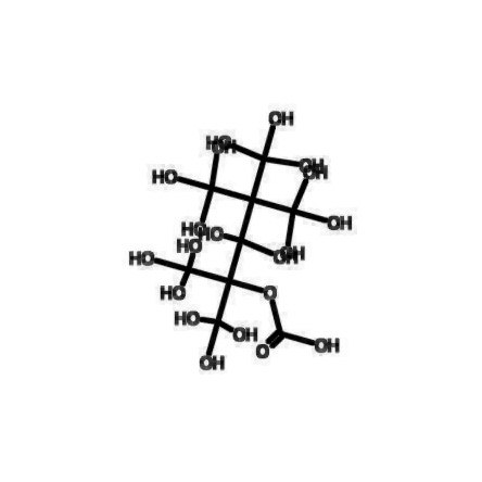 O=C(O)OC(C(O)(O)O)(C(O)(O)O)C(O)(O)C(C(O)(O)O)(C(O)(O)O)C(O)(O)O